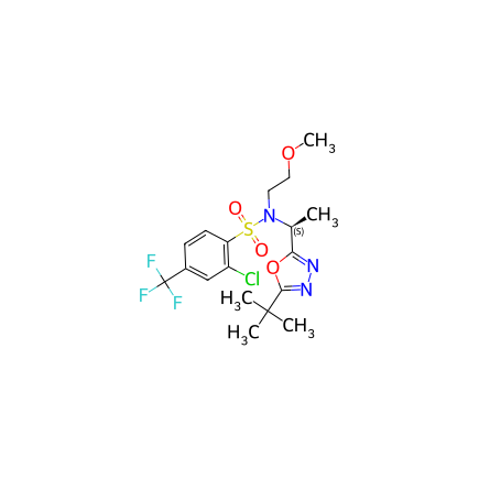 COCCN([C@@H](C)c1nnc(C(C)(C)C)o1)S(=O)(=O)c1ccc(C(F)(F)F)cc1Cl